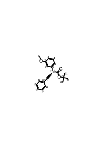 COc1cccc(N(C#Cc2ccccc2)C(=O)OC(C)(C)C)c1